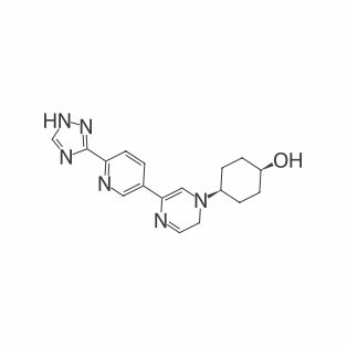 O[C@H]1CC[C@@H](N2C=C(c3ccc(-c4nc[nH]n4)nc3)N=CC2)CC1